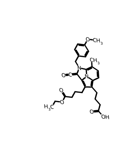 CCOC(=O)CCCc1c(CCCC(=O)O)c2ccc(C)c3n(Cc4ccc(OC)cc4)c(=C=O)c1n23